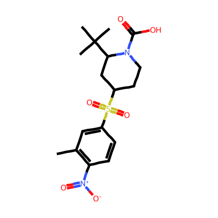 Cc1cc(S(=O)(=O)C2CCN(C(=O)O)C(C(C)(C)C)C2)ccc1[N+](=O)[O-]